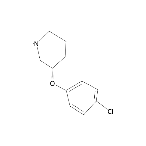 Clc1ccc(O[C@H]2CCC[N]C2)cc1